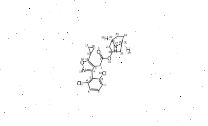 O=C(Cc1c(-c2c(Cl)cccc2Cl)noc1C1CC1)OC1C[C@H]2CC[C@@H](C1)N2